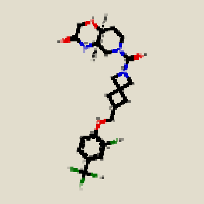 O=C1CO[C@H]2CCN(C(=O)N3CC4(CC(COc5ccc(C(F)(F)F)cc5F)C4)C3)C[C@H]2N1